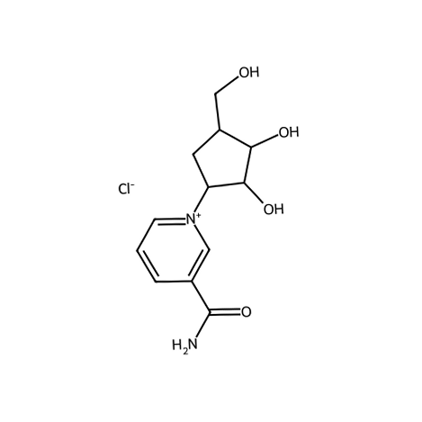 NC(=O)c1ccc[n+](C2CC(CO)C(O)C2O)c1.[Cl-]